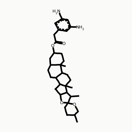 CC1CCC2(OC1)OC1CC3C4CCC5CC(OC(=O)Cc6cc(N)cc(N)c6)CCC5(C)C4CCC3(C)C1C2C